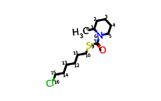 CC1CCCCN1C(=O)SCCCCCCCl